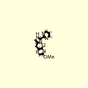 COc1cnc(Cc2c[nH]c(-c3ncccn3)n2)c(Cl)n1